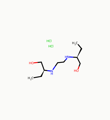 CC[C@@H](CO)NCCN[C@@H](CC)CO.Cl.Cl